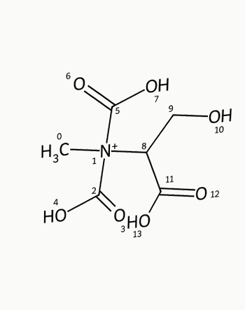 C[N+](C(=O)O)(C(=O)O)C(CO)C(=O)O